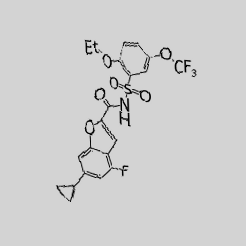 CCOc1ccc(OC(F)(F)F)cc1S(=O)(=O)NC(=O)c1cc2c(F)cc(C3CC3)cc2o1